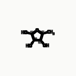 C[C@@H]1O[C@H](O)[C@H](O)[C@@H]1O